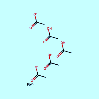 CC(=O)O.CC(=O)O.CC(=O)O.CC(=O)[O-].CC(=O)[O-].[Pb+2]